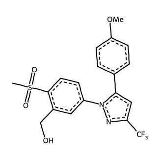 COc1ccc(-c2cc(C(F)(F)F)nn2-c2ccc(S(C)(=O)=O)c(CO)c2)cc1